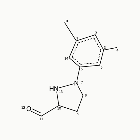 Cc1cc(C)cc(N2CCC(C=O)N2)c1